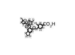 Cc1ccc(S(=O)(=O)N(CC(C)F)c2cc3c(cc2OCc2ccc(C(=O)O)cc2C)CCC3)o1